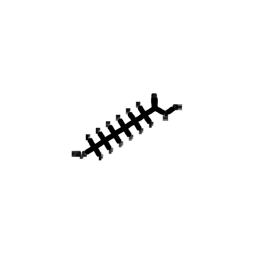 O=C(O)C(F)(F)C(F)(F)C(F)(F)C(F)(F)C(F)(F)C(F)(F)C(=O)NO